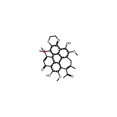 COC1=CC(=O)c2c(O)c(OC)c3c4c2c1c1c(OC)c2c(c5c(O)c(OC)c(c4c15)CC(C)=C3C(C)=O)=NCCS2